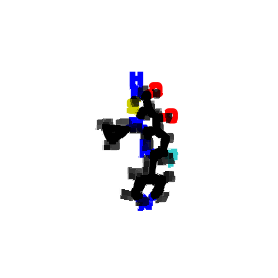 O=c1[nH]sc2c1c(=O)c1cc(F)c(-c3ccncc3)nc1n2C1CC1